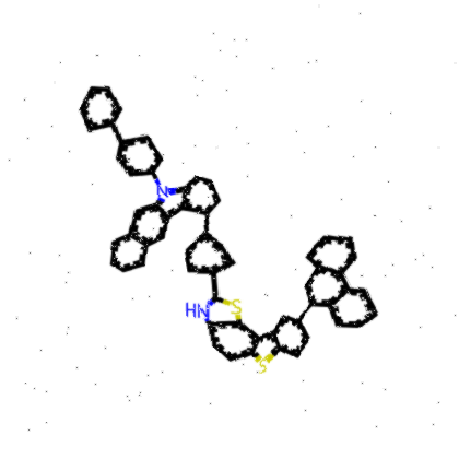 c1ccc(-c2ccc(-n3c4cc5ccccc5cc4c4c(-c5ccc(C6Nc7ccc8sc9ccc(-c%10cc%11ccccc%11c%11ccccc%10%11)cc9c8c7S6)cc5)cccc43)cc2)cc1